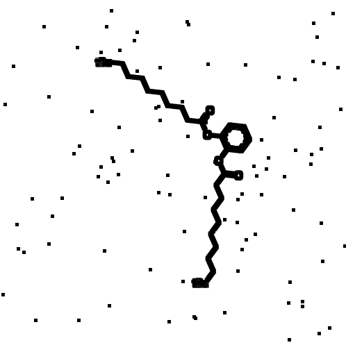 CC(C)(C)CCCCCCCCC(=O)Oc1ccccc1OC(=O)CCCCCCCCC(C)(C)C